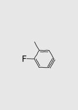 Cc1cc#ccc1F